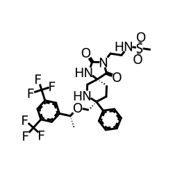 C[C@@H](OC[C@@]1(c2ccccc2)CC[C@]2(CN1)NC(=O)N(CCNS(C)(=O)=O)C2=O)c1cc(C(F)(F)F)cc(C(F)(F)F)c1